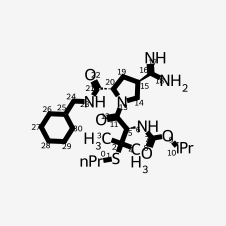 CCCSC(C)(C)[C@@H](NC(=O)OC(C)C)C(=O)N1C[C@H](C(=N)N)C[C@H]1C(=O)NCC1CCCCC1